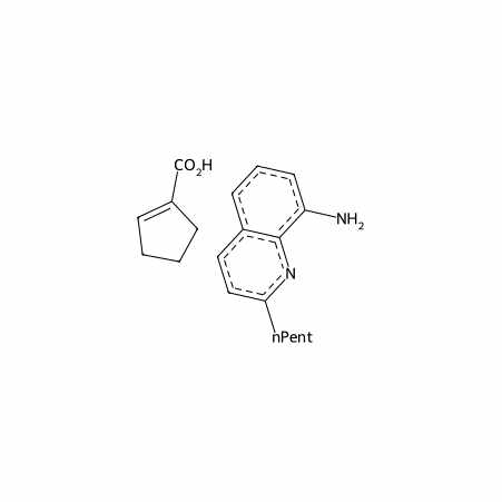 CCCCCc1ccc2cccc(N)c2n1.O=C(O)C1=CCCC1